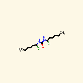 CCCCCC(Cl)NC(=O)NC(Cl)CCCCC